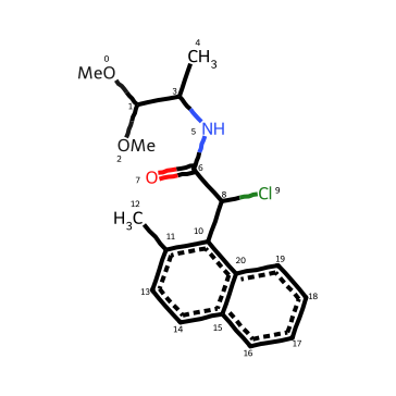 COC(OC)C(C)NC(=O)C(Cl)c1c(C)ccc2ccccc12